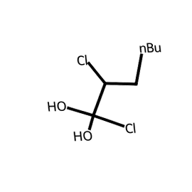 CCCCCC(Cl)C(O)(O)Cl